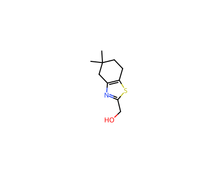 CC1(C)CCc2sc(CO)nc2C1